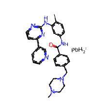 Cc1ccc(NC(=O)c2ccc(CN3CCN(C)CC3)cc2)cc1Nc1nccc(-c2cccnc2)n1.[PbH2]